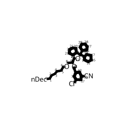 CCCCCCCCCCCCCCCCOCC(COC(c1ccccc1)(c1ccccc1)c1ccccc1)OCc1cc(Cl)cc(C#N)c1